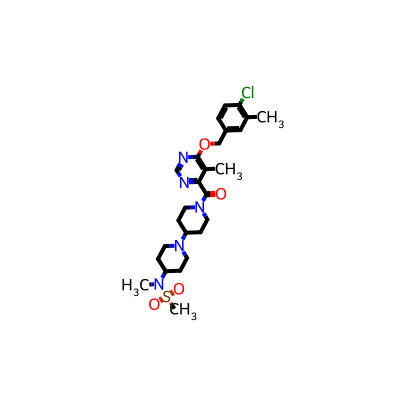 Cc1cc(COc2ncnc(C(=O)N3CCC(N4CCC(N(C)S(C)(=O)=O)CC4)CC3)c2C)ccc1Cl